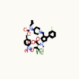 C=CCN(C(=O)OCc1ccc([N+](=O)[O-])cc1)C1CCN(CC2CC(N(C)[C@@H](C(=O)O)C(C)C)CC2c2cccc(F)c2)CC1.Cl.Cl